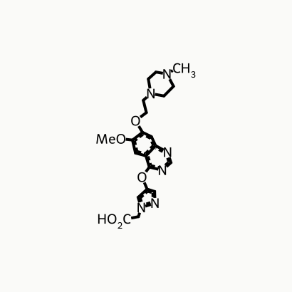 COc1cc2c(Oc3cnn(CC(=O)O)c3)ncnc2cc1OCCN1CCN(C)CC1